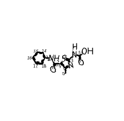 Cc1nc(NC(=O)O)sc1C(=O)Nc1ccccc1